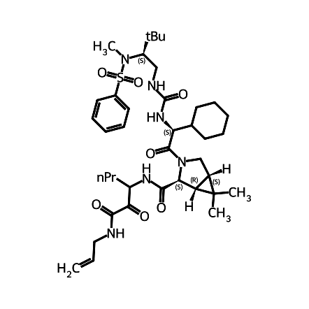 C=CCNC(=O)C(=O)C(CCC)NC(=O)[C@@H]1[C@@H]2[C@H](CN1C(=O)[C@@H](NC(=O)NC[C@@H](N(C)S(=O)(=O)c1ccccc1)C(C)(C)C)C1CCCCC1)C2(C)C